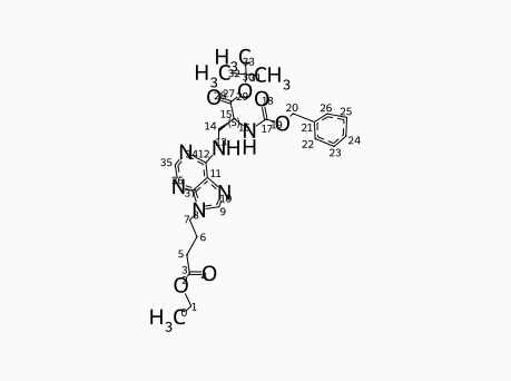 CCOC(=O)CCCn1cnc2c(NC[C@H](NC(=O)OCc3ccccc3)C(=O)OC(C)(C)C)ncnc21